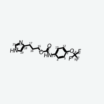 O=C(Nc1ccc(OC(F)(F)F)cc1)OCCCc1c[nH]cn1